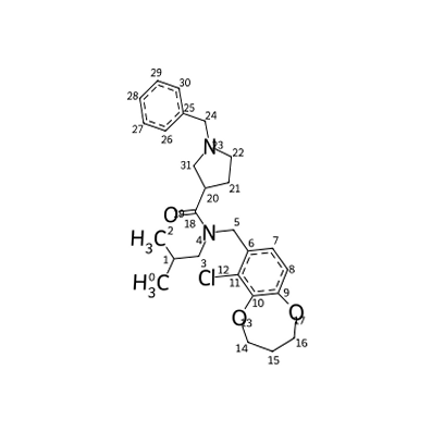 CC(C)CN(Cc1ccc2c(c1Cl)OCCCO2)C(=O)C1CCN(Cc2ccccc2)C1